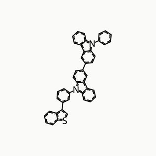 c1ccc(-n2c3ccccc3c3cc(-c4ccc5c(c4)c4ccccc4n5-c4cccc(-c5csc6ccccc56)c4)ccc32)cc1